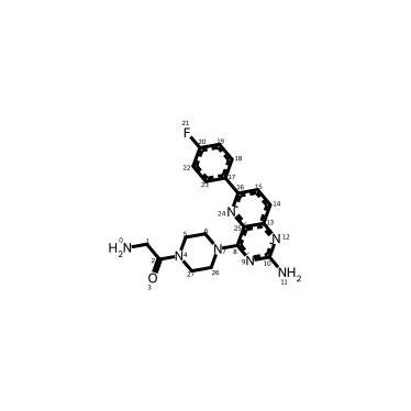 NCC(=O)N1CCN(c2nc(N)nc3ccc(-c4ccc(F)cc4)nc23)CC1